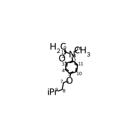 C=C1Oc2cc(OCCC(C)C)ccc2N1C